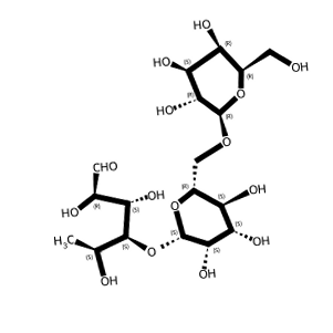 C[C@H](O)[C@H](O[C@@H]1O[C@H](CO[C@@H]2O[C@H](CO)[C@H](O)[C@H](O)[C@H]2O)[C@@H](O)[C@H](O)[C@@H]1O)[C@@H](O)[C@@H](O)C=O